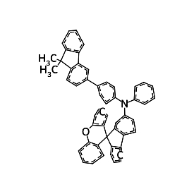 CC1(C)c2ccccc2-c2cc(-c3ccc(N(c4ccccc4)c4ccc5c(c4)C4(c6ccccc6Oc6ccccc64)c4ccccc4-5)cc3)ccc21